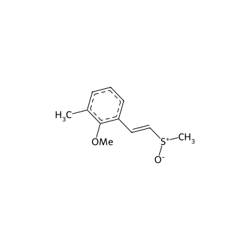 COc1c(C)cccc1C=C[S+](C)[O-]